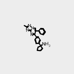 Cc1nc2nc(-c3ccc(C4(N)CCCC4)cc3)c(-c3ccccc3)cn2n1